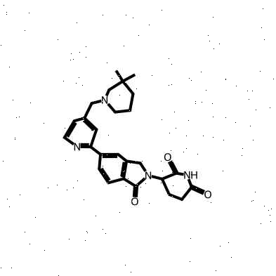 CC1(C)CCCN(Cc2ccnc(-c3ccc4c(c3)CN(C3CCC(=O)NC3=O)C4=O)c2)C1